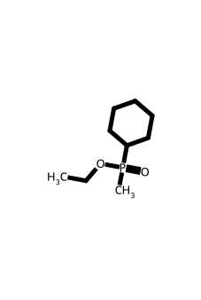 CCOP(C)(=O)C1CCCCC1